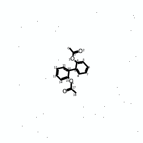 CC(=O)Oc1ccccc1-c1ccccc1OC(C)=O